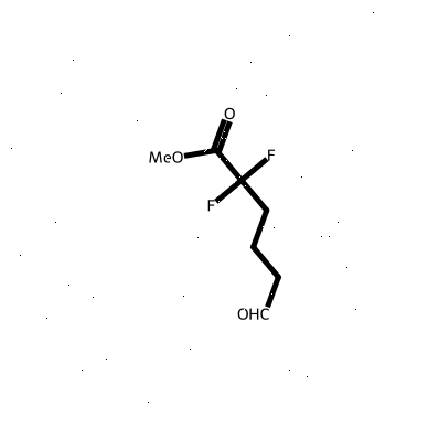 COC(=O)C(F)(F)CCCC=O